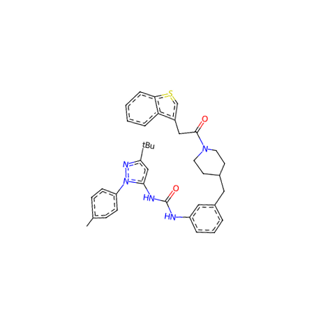 Cc1ccc(-n2nc(C(C)(C)C)cc2NC(=O)Nc2cccc(CC3CCN(C(=O)Cc4csc5ccccc45)CC3)c2)cc1